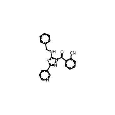 N#Cc1ccccc1C(=O)n1nc(-c2cccnc2)nc1NCc1ccccc1